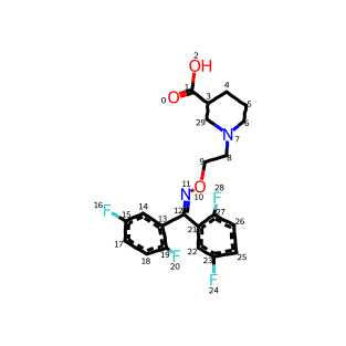 O=C(O)C1CCCN(CCON=C(c2cc(F)ccc2F)c2cc(F)ccc2F)C1